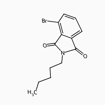 CCCCCN1C(=O)c2cccc(Br)c2C1=O